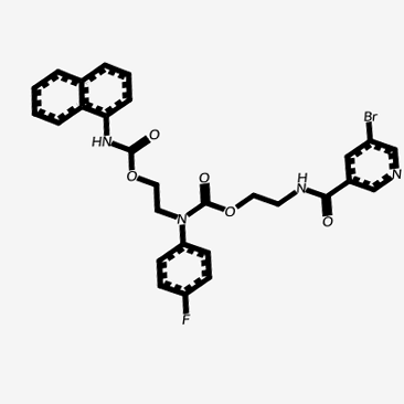 O=C(Nc1cccc2ccccc12)OCCN(C(=O)OCCNC(=O)c1cncc(Br)c1)c1ccc(F)cc1